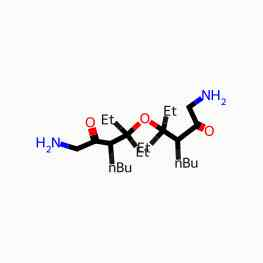 CCCCC(C(=O)CN)C(CC)(CC)OC(CC)(CC)C(CCCC)C(=O)CN